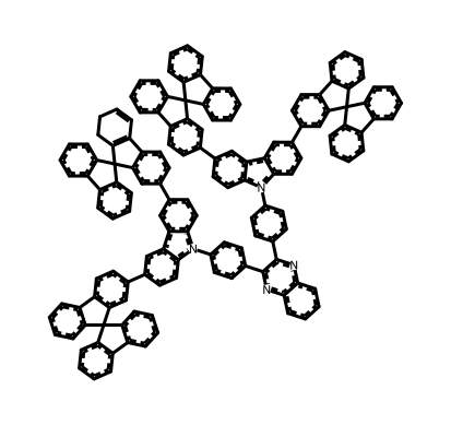 C1=CC2=C(CC1)C1(c3cc(-c4ccc5c(c4)c4cc(-c6ccc7c(c6)C6(c8ccccc8-c8ccccc86)c6ccccc6-7)ccc4n5-c4ccc(-c5nc6ccccc6nc5-c5ccc(-n6c7ccc(-c8ccc9c(c8)C8(c%10ccccc%10-c%10ccccc%108)c8ccccc8-9)cc7c7cc(-c8ccc9c(c8)C8(c%10ccccc%10-c%10ccccc%108)c8ccccc8-9)ccc76)cc5)cc4)ccc32)c2ccccc2-c2ccccc21